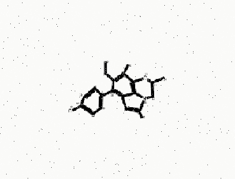 CCc1c(C)c2c3c(cc(C)n3CC(C)O2)c1-c1ccc(Cl)cc1